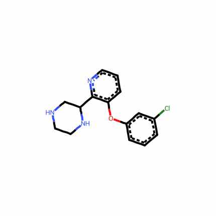 Clc1cccc(Oc2cccnc2C2CNCCN2)c1